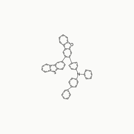 c1ccc(-c2ccc(N(c3ccccc3)c3ccc(-c4cc5oc6ccccc6c5cc4-c4ccc5sc6ccccc6c5c4)cc3)cc2)cc1